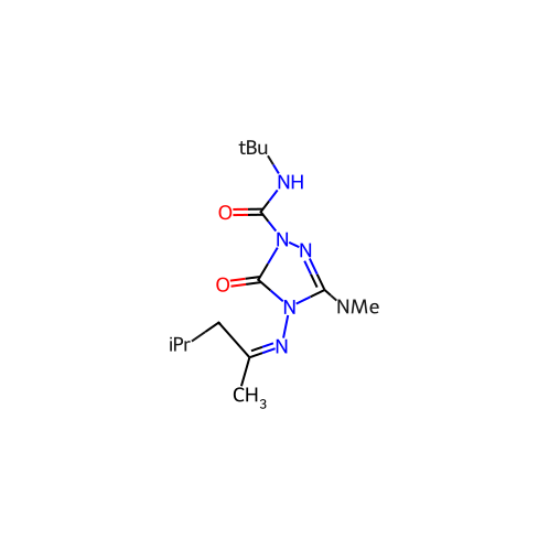 CNc1nn(C(=O)NC(C)(C)C)c(=O)n1N=C(C)CC(C)C